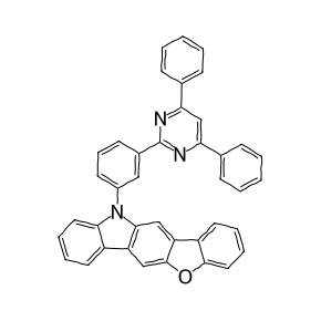 c1ccc(-c2cc(-c3ccccc3)nc(-c3cccc(-n4c5ccccc5c5cc6oc7ccccc7c6cc54)c3)n2)cc1